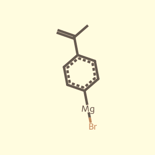 C=C(C)c1cc[c]([Mg][Br])cc1